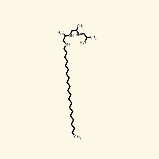 CCCCCCCCCCCCCCCCCCCCCCNCC(C)NCC(C)NCC(C)N